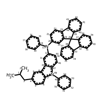 CC(C)Cc1ccc2c(c1)c1cc(N(c3ccccc3)c3ccc4c(c3)C3(c5ccccc5-c5ccccc53)c3ccccc3-4)ccc1n2-c1ccccc1